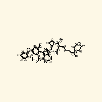 C/C(=C/CC/C=C(\C#N)C(=O)N1CCC1Cn1nc(-c2ccc(Oc3ccccc3)cc2F)c2c(N)ncnc21)N1CCOCC1